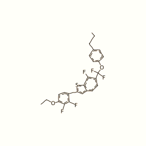 CCCc1ccc(OC(F)(F)c2ccc3cc(-c4ccc(OCC)c(F)c4F)sc3c2F)cc1